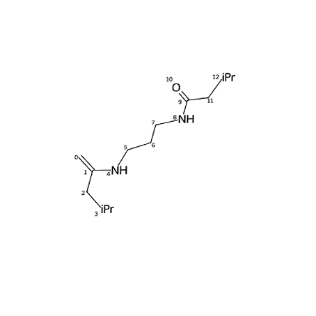 C=C(CC(C)C)NCCCNC(=O)CC(C)C